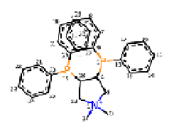 C[N+]1(C)CC(P(c2ccccc2)c2ccccc2)C(P(c2ccccc2)c2ccccc2)C1